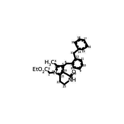 CCOC(=O)Cn1c(C)c(Cc2ccccc2Cc2ccccc2)c2c1CCNC2=O